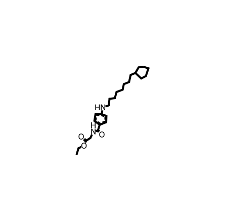 CCOC(=O)CNC(=O)c1ccc(NCCCCCCCCC2CCCCC2)cc1